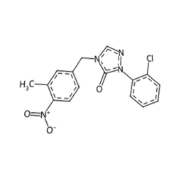 Cc1cc(Cn2cnn(-c3ccccc3Cl)c2=O)ccc1[N+](=O)[O-]